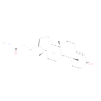 C[C@]12CCC(=O)C=C1CC[C@@H]1[C@@H]2CC[C@]2(C)C(=CCC(N)=O)CC[C@@H]12